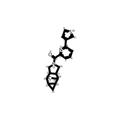 O=C(c1cccc(-c2ccsc2)n1)N1CC2C3CCC(C4CC34)C2C1